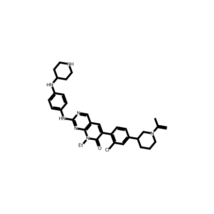 C=C(C)N1CCCC(c2ccc(-c3cc4cnc(Nc5ccc(NC6CCNCC6)cc5)nc4n(CC)c3=O)c(Cl)c2)C1